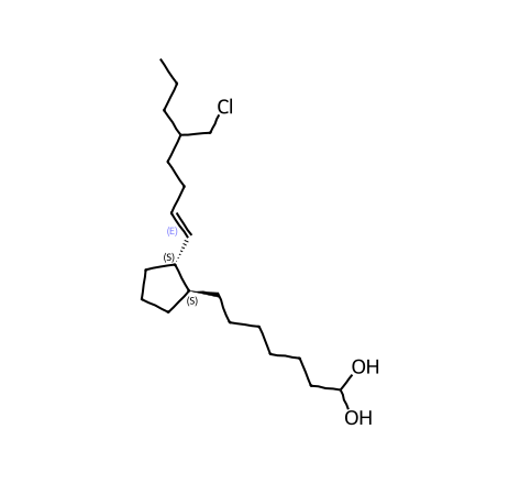 CCCC(CCl)CC/C=C/[C@H]1CCC[C@@H]1CCCCCCC(O)O